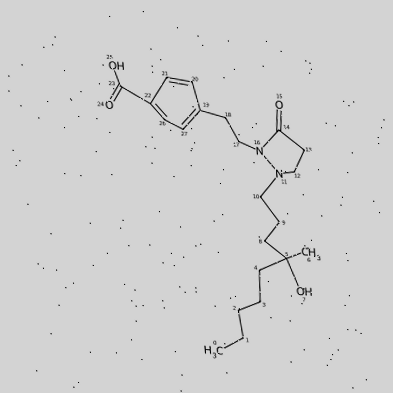 CCCCCC(C)(O)CCCN1CCC(=O)N1CCc1ccc(C(=O)O)cc1